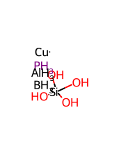 B.O[Si](O)(O)O.P.[AlH3].[Cu]